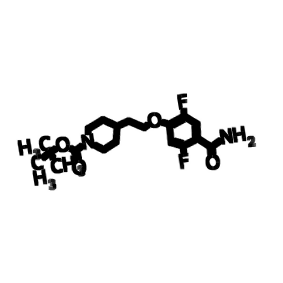 CC(C)(C)OC(=O)N1CCC(CCOc2cc(F)c(C(N)=O)cc2F)CC1